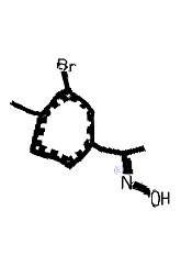 C/C(=N\O)c1ccc(C)c(Br)c1